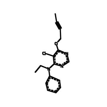 CC#CCOc1ncnc(N(CC)c2ccccc2)c1Cl